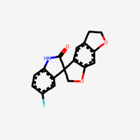 O=C1Nc2ccc(F)cc2C12COc1cc3c(cc12)CCO3